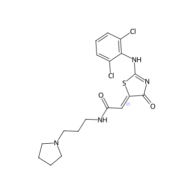 O=C(/C=C1\SC(Nc2c(Cl)cccc2Cl)=NC1=O)NCCCN1CCCC1